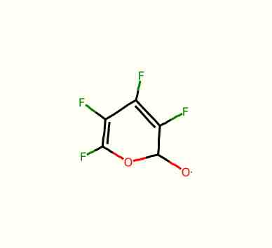 [O]C1OC(F)=C(F)C(F)=C1F